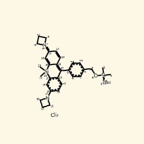 CC(C)(C)[Si](C)(C)OCc1ccc(C2=C3C=CC(=[N+]4CCC4)C=C3[Si](C)(C)c3cc(N4CCC4)ccc32)cc1.[Cl-]